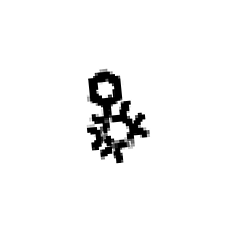 CC1C(C)(C)O[Si](C)(C)[Si](C)(C)[Si]1(C)c1ccccc1